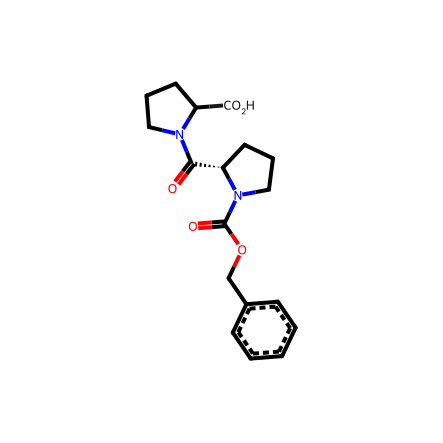 O=C(O)C1CCCN1C(=O)[C@@H]1CCCN1C(=O)OCc1ccccc1